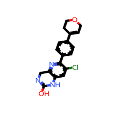 OC1=NCc2nc(-c3ccc(C4=CCOCC4)cc3)c(Cl)cc2N1